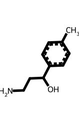 Cc1ccc(C(O)CCN)cc1